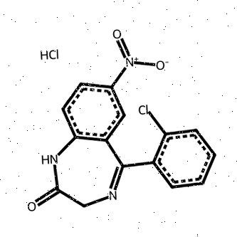 Cl.O=C1CN=C(c2ccccc2Cl)c2cc([N+](=O)[O-])ccc2N1